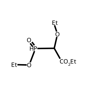 CCOC(=O)C(OCC)[PH](=O)OCC